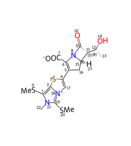 CSc1c2sc(C3=C(C(=O)[O-])N4C(=O)[C@H]([C@@H](C)O)[C@H]4C3)c[n+]2c(SC)n1C